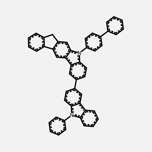 c1ccc(-c2ccc(-n3c4ccc(-c5ccc6c(c5)c5ccccc5n6-c5ccccc5)cc4c4cc5c(cc43)Cc3ccccc3-5)cc2)cc1